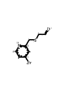 O=CCSCc1cc(Br)ccn1